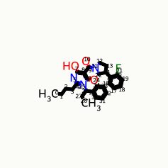 CCCCc1nc(O)c(C(=O)N2CCC(c3ccccc3F)C2)c(=O)n1C(CC)c1ccccc1